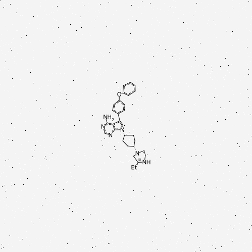 CC[C@H]1CN([C@H]2CC[C@@H](n3cc(-c4ccc(Oc5ccccc5)cc4)c4c(N)ncnc43)CC2)CCN1